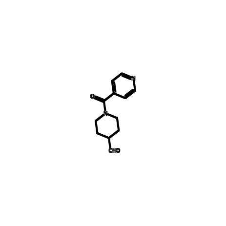 O=CC1CCN(C(=O)c2ccncc2)CC1